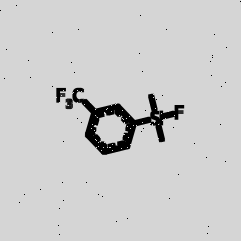 C[Si](C)(F)c1cccc(C(F)(F)F)c1